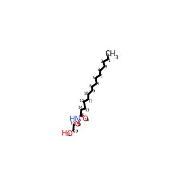 CCCCCCCCCCCCCCCC(=O)NOCCO